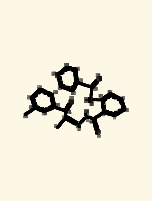 C/C(=N/NC(=O)c1ccccc1NC(=O)c1ccncc1)C(=O)c1cccc(C)c1